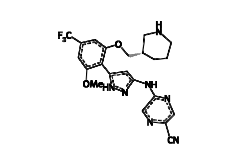 COc1cc(C(F)(F)F)cc(OC[C@H]2CCCNC2)c1-c1cc(Nc2cnc(C#N)cn2)n[nH]1